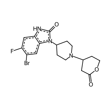 O=C1CC(N2CCC(n3c(=O)[nH]c4cc(F)c(Br)cc43)CC2)CCO1